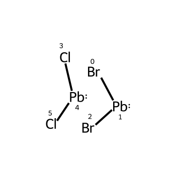 [Br][Pb][Br].[Cl][Pb][Cl]